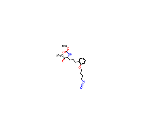 COC(=O)[C@H](CCCc1ccccc1OCCCCN=[N+]=[N-])NC(=O)OC(C)(C)C